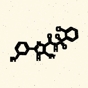 CC(C)c1cccc(-c2nc(C(=O)NS(=O)(=O)c3ccccc3Cl)c(C(C)C)[nH]2)c1